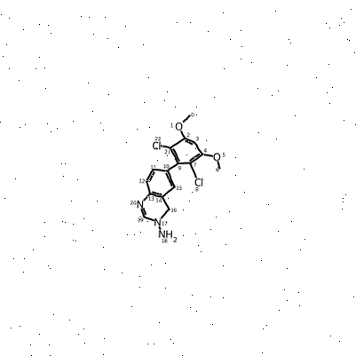 COc1cc(OC)c(Cl)c(-c2ccc3c(c2)CN(N)[C]=N3)c1Cl